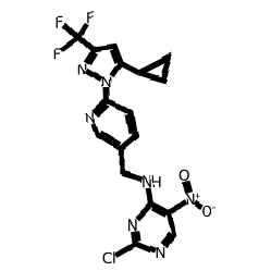 O=[N+]([O-])c1cnc(Cl)nc1NCc1ccc(-n2nc(C(F)(F)F)cc2C2CC2)nc1